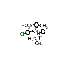 CN(C)CC1Cc2ccccc2N(C(=O)/C=C/c2ccc(Cl)cc2)C1.Cc1ccc(S(=O)(=O)O)cc1